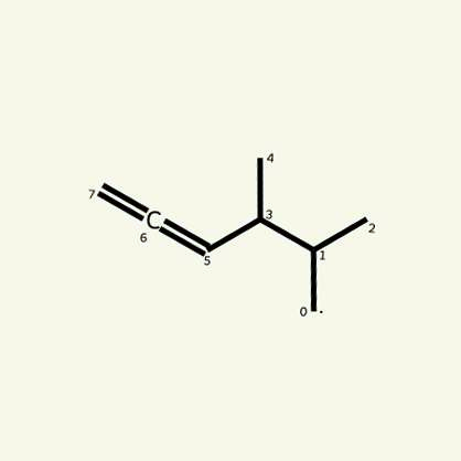 [CH2]C(C)C(C)C=C=C